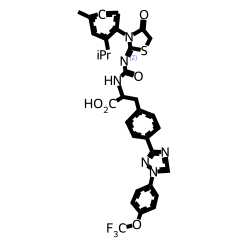 Cc1ccc(N2C(=O)CS/C2=N\C(=O)NC(Cc2ccc(-c3ncn(-c4ccc(OC(F)(F)F)cc4)n3)cc2)C(=O)O)c(C(C)C)c1